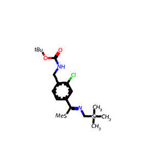 CSC(=NC[Si](C)(C)C)c1ccc(CNC(=O)OC(C)(C)C)c(Cl)c1